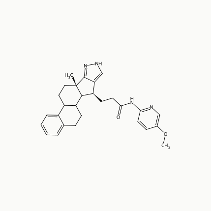 COc1ccc(NC(=O)CC[C@@H]2c3c[nH]nc3[C@@]3(C)CCC4c5ccccc5CCC4C23)nc1